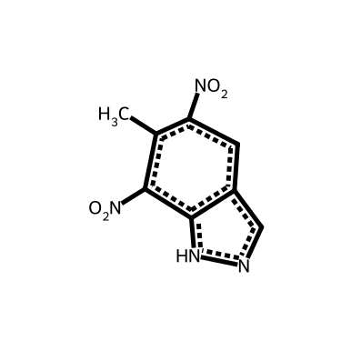 Cc1c([N+](=O)[O-])cc2cn[nH]c2c1[N+](=O)[O-]